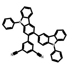 N#Cc1cc(C#N)cc(-c2cc3c(cc2-c2ccc4c(c2)c2ccccc2n4-c2ccccc2)c2ccccc2n3-c2ccccc2)c1